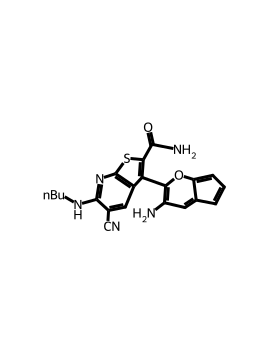 CCCCNc1nc2sc(C(N)=O)c(-c3oc4cccc-4cc3N)c2cc1C#N